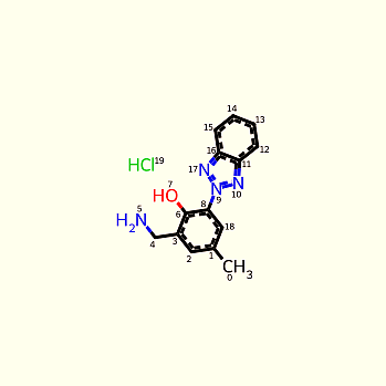 Cc1cc(CN)c(O)c(-n2nc3ccccc3n2)c1.Cl